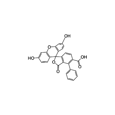 O=C(O)c1ccc2c(c1-c1ccccc1)C(=O)OC21c2ccc(O)cc2Oc2cc(O)ccc21